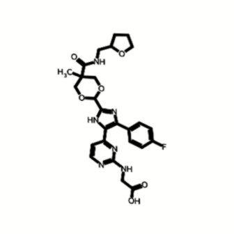 CC1(C(=O)NCC2CCCO2)COC(c2nc(-c3ccc(F)cc3)c(-c3ccnc(NCC(=O)O)n3)[nH]2)OC1